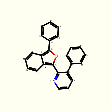 c1ccc(-c2cccnc2-c2oc(-c3ccccc3)c3ccccc23)cc1